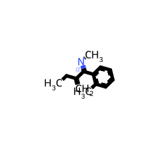 C=C(CC)/C(=N/C)c1ccccc1C